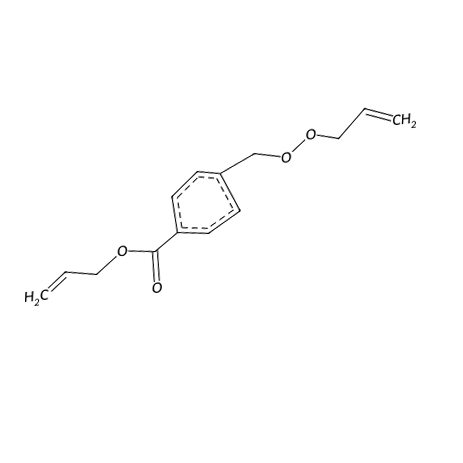 C=CCOOCc1ccc(C(=O)OCC=C)cc1